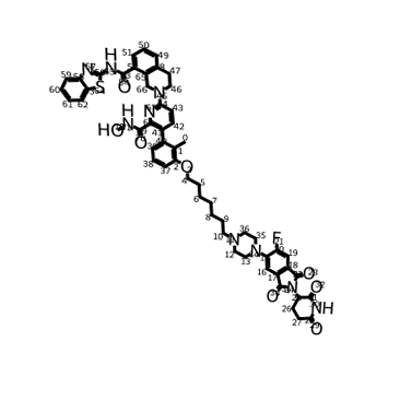 Cc1c(OCCCCCCCN2CCN(c3cc4c(cc3F)C(=O)N(C3CCC(=O)NC3=O)C4=O)CC2)cccc1-c1ccc(N2CCc3cccc(C(=O)Nc4nc5ccccc5s4)c3C2)nc1C(=O)NO